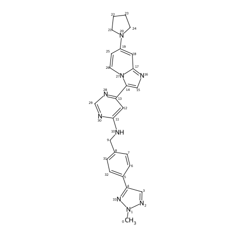 Cn1ncc(-c2ccc(CNc3cc(-c4cnc5cc(N6CCCC6)ccn45)ncn3)cc2)n1